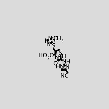 Cn1nnnc1SCC1=C(C(=O)O)N2C(=O)C(Nc3nc(CC#N)c[nH]3)[C@@H]2SC1